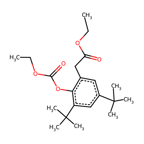 CCOC(=O)Cc1cc(C(C)(C)C)cc(C(C)(C)C)c1OC(=O)OCC